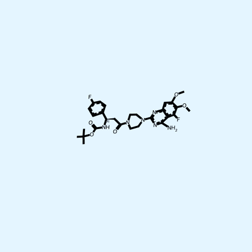 COc1cc2nc(N3CCN(C(=O)C[C@@H](NC(=O)OC(C)(C)C)c4ccc(F)cc4)CC3)nc(N)c2c(F)c1OC